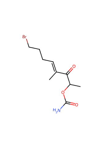 C/C(=C\CCCBr)C(=O)C(C)OC(N)=O